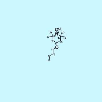 CCCCOC1CC(C)(C)N(O)C(C)(C)C1